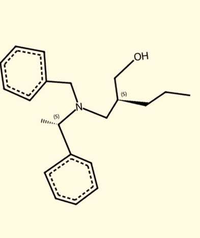 CCC[C@H](CO)CN(Cc1ccccc1)[C@@H](C)c1ccccc1